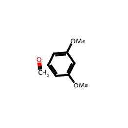 C=O.COc1cccc(OC)c1